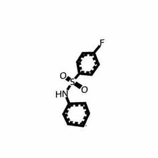 O=S(=O)(Nc1cc[c]cc1)c1ccc(F)cc1